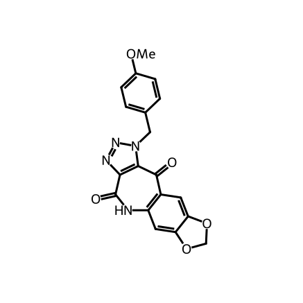 COc1ccc(Cn2nnc3c(=O)[nH]c4cc5c(cc4c(=O)c32)OCO5)cc1